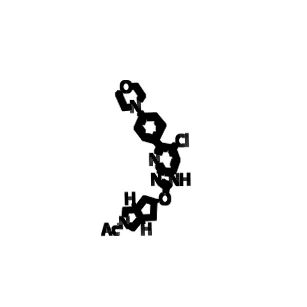 CC(=O)N1C[C@H]2C[C@@H](Oc3nc4nc(-c5ccc(N6CCOCC6)cc5)c(Cl)cc4[nH]3)C[C@H]2C1